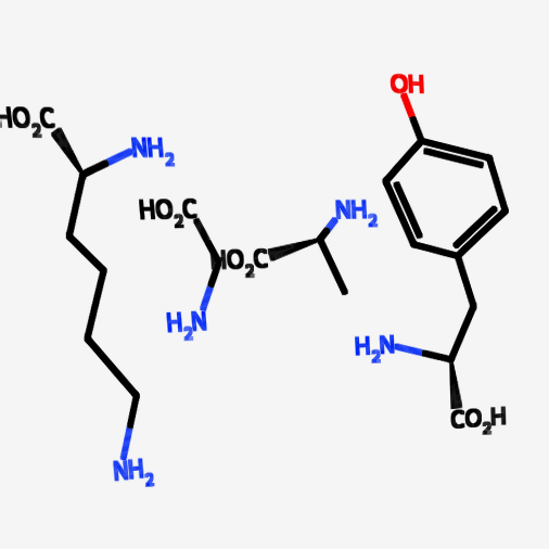 C[C@H](N)C(=O)O.NCC(=O)O.NCCCC[C@H](N)C(=O)O.N[C@@H](Cc1ccc(O)cc1)C(=O)O